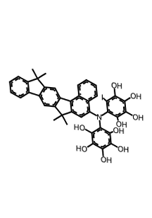 CC1(C)c2ccccc2-c2cc3c(cc21)-c1c(cc(N(c2c(O)c(O)c(O)c(O)c2O)c2c(O)c(O)c(O)c(O)c2I)c2ccccc12)C3(C)C